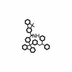 CC1(C)c2ccccc2-c2ccc(C(=N)c3cccc(C4(c5cccc(CC(c6ccccc6)c6ccccc6)c5)c5ccccc5-c5ccccc54)c3)cc21